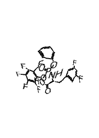 O=C(O)[C@H](Cc1cc(F)cc(F)c1)N[P@](=O)(Oc1ccccc1)Oc1c(F)c(F)c(F)c(F)c1F